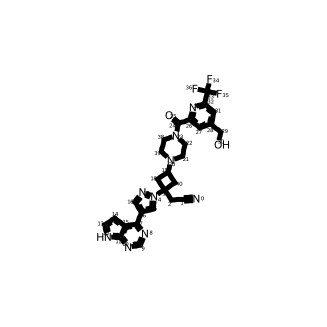 N#CCC1(n2cc(-c3ncnc4[nH]ccc34)cn2)CC(N2CCN(C(=O)c3cc(CO)cc(C(F)(F)F)n3)CC2)C1